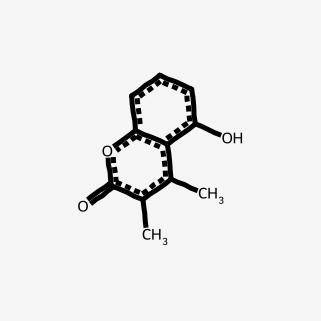 Cc1c(C)c2c(O)cccc2oc1=O